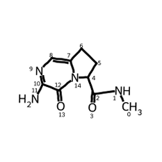 CNC(=O)C1CCc2cnc(N)c(=O)n21